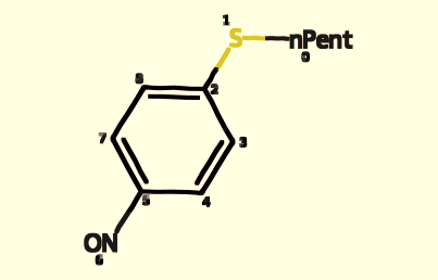 CCCCCSc1ccc(N=O)cc1